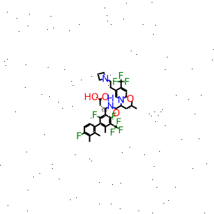 Cc1c(F)ccc(-c2c(C)c(C(F)(F)F)c(F)c([C@H](CC(=O)O)NC(=O)C(CC(C)C)n3cc(CCN4CCC4)c(C(F)(F)F)cc3=O)c2F)c1C